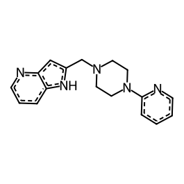 c1ccc(N2CCN(Cc3cc4ncccc4[nH]3)CC2)nc1